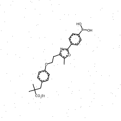 CCOC(=O)C(C)(C)Cc1ccc(OCCc2nc(-c3ccc(B(O)O)cc3)oc2C)cc1